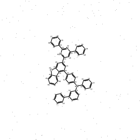 c1ccc(-c2cccc(N(c3ccccc3)c3ccc(-c4cc(-c5cc(-c6ccccc6)nc(-c6ccccc6)n5)cc5oc6ccccc6c45)cc3)c2)cc1